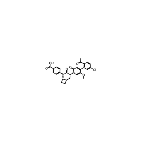 COc1cn([C@@H](CC2CCC2)C(=O)Nc2ccc(C(=O)O)cc2)c(=O)cc1-c1cc(Cl)ccc1C(C)=O